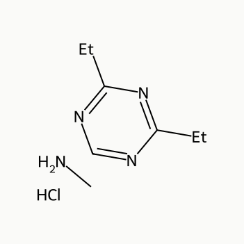 CCc1ncnc(CC)n1.CN.Cl